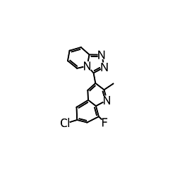 Cc1nc2c(F)cc(Cl)cc2cc1-c1nnc2ccccn12